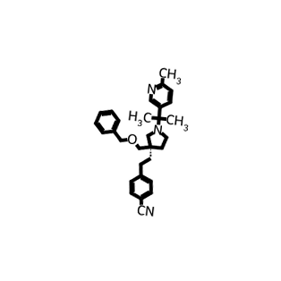 Cc1ccc(C(C)(C)N2CC[C@@](CCc3ccc(C#N)cc3)(COCc3ccccc3)C2)cn1